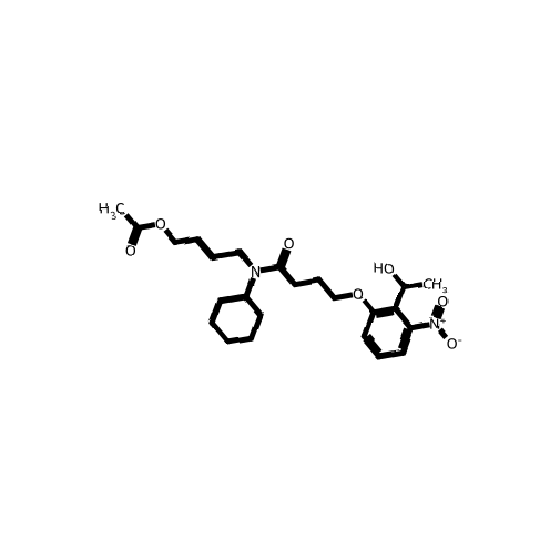 CC(=O)OCCCCN(C(=O)CCCOc1cccc([N+](=O)[O-])c1C(C)O)C1CCCCC1